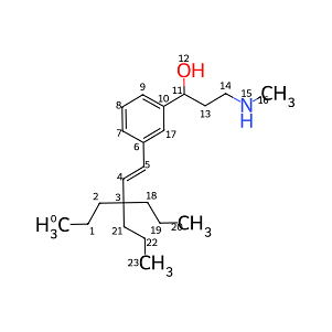 CCCC(/C=C/c1cccc(C(O)CCNC)c1)(CCC)CCC